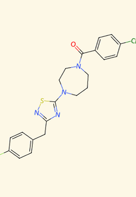 O=C(c1ccc(Cl)cc1)N1CCCN(c2nc(Cc3ccc(F)cc3)ns2)CC1